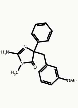 COc1cccc(CC2(c3ccccc3)N=C(N)N(C)C2=O)c1